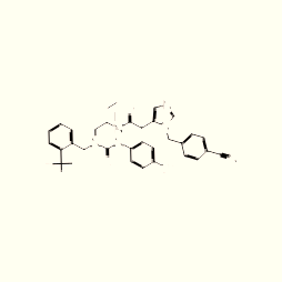 CC[C@@H](CN(Cc1ccccc1C(F)(F)F)C(=S)Nc1ccc(Br)cc1)NC(=O)Cc1cncn1Cc1ccc(C#N)cc1